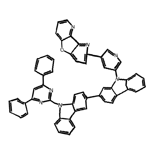 c1ccc(-c2cc(-c3ccccc3)nc(-n3c4ccccc4c4cc(-c5ccc6c7ccccc7n(-c7cncc(-c8ccc9oc%10cccnc%10c9n8)c7)c6c5)ccc43)n2)cc1